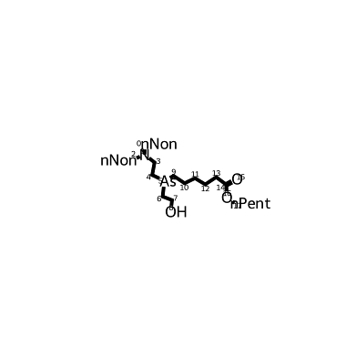 CCCCCCCCCN(CCCCCCCCC)CC[As](CCO)CCCCCC(=O)OCCCCC